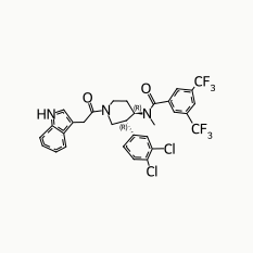 CN(C(=O)c1cc(C(F)(F)F)cc(C(F)(F)F)c1)[C@@H]1CCN(C(=O)Cc2c[nH]c3ccccc23)C[C@H]1c1ccc(Cl)c(Cl)c1